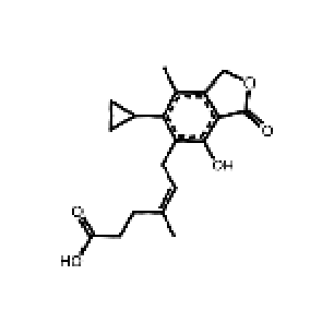 CC(=CCc1c(O)c2c(c(C)c1C1CC1)COC2=O)CCC(=O)O